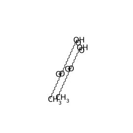 CCCCCCCCCCCCCCCC(=O)OCCCCCCCCCCCCCCCCCCCC(=O)O.CCCCCCCCCCCCCCCCCC(=O)OCCCCCCCCCCCC(=O)O